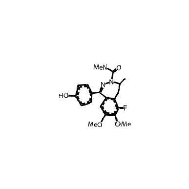 CNC(=O)N1N=C(c2ccc(O)cc2)c2cc(OC)c(OC)c(F)c2CC1C